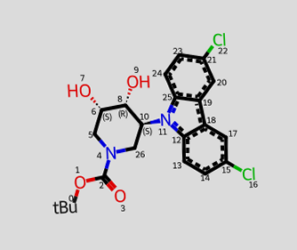 CC(C)(C)OC(=O)N1C[C@H](O)[C@H](O)[C@@H](n2c3ccc(Cl)cc3c3cc(Cl)ccc32)C1